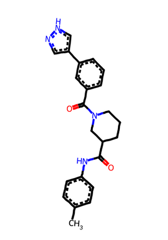 Cc1ccc(NC(=O)C2CCCN(C(=O)c3cccc(-c4cn[nH]c4)c3)C2)cc1